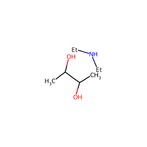 CC(O)C(C)O.CCNCC